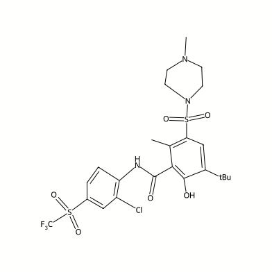 Cc1c(S(=O)(=O)N2CCN(C)CC2)cc(C(C)(C)C)c(O)c1C(=O)Nc1ccc(S(=O)(=O)C(F)(F)F)cc1Cl